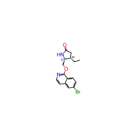 CC[C@@H]1CC(=O)N[C@@H]1COc1nccc2cc(Br)ccc12